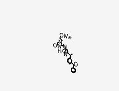 COCCN1CC(=O)N/C1=N\c1cc(C(C)c2cccc(C(=O)c3ccccc3)c2)no1